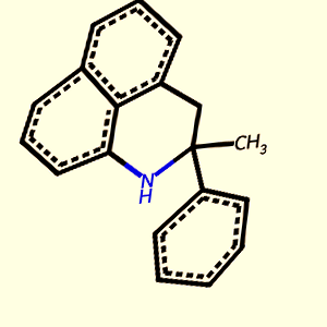 CC1(c2ccccc2)Cc2cccc3cccc(c23)N1